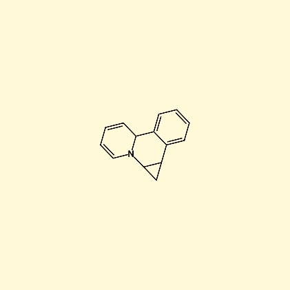 C1=CC2c3ccccc3C3CC3N2C=C1